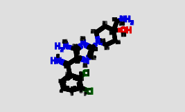 N=C(c1cccc(Cl)c1Cl)c1ncc(N2CCC(O)(CN)CC2)nc1N